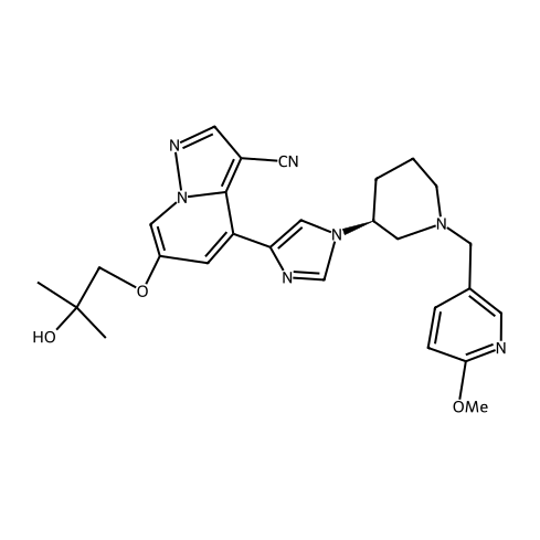 COc1ccc(CN2CCC[C@H](n3cnc(-c4cc(OCC(C)(C)O)cn5ncc(C#N)c45)c3)C2)cn1